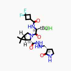 CC(C)(C)[C@H](NC(=O)C1CC(F)(F)C1)C(=O)N1C[C@H]2[C@@H]([C@H]1C(=O)NNC[C@@H]1CCNC1=O)C2(C)C.Cl